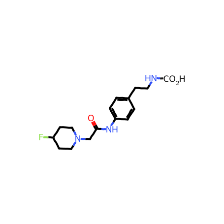 O=C(O)NCCc1ccc(NC(=O)CN2CCC(F)CC2)cc1